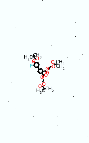 C=C(C)C(=O)OCCOC(=O)c1ccc(-c2ccc(OC(=O)C(=C)C)c(F)c2)cc1C(=O)OCCOC(=O)C(=C)C